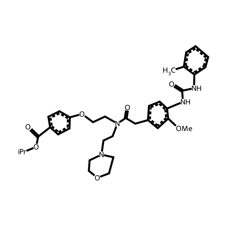 COc1cc(CC(=O)N(CCOc2ccc(C(=O)OC(C)C)cc2)CCN2CCOCC2)ccc1NC(=O)Nc1ccccc1C